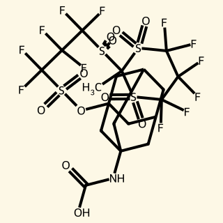 CC1(S(=O)(=O)C(F)(F)C(F)(F)C(F)(F)S(=O)(=O)OC23CC4CC(CC(NC(=O)O)(C4)C2)C3)S(=O)(=O)C(F)(F)C(F)(F)C(F)(F)S1(=O)=O